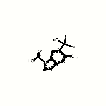 Cc1cc2ccn(C(=O)O)c2cc1C(F)(F)F